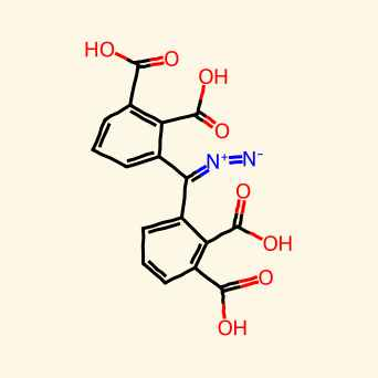 [N-]=[N+]=C(c1cccc(C(=O)O)c1C(=O)O)c1cccc(C(=O)O)c1C(=O)O